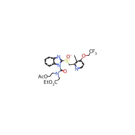 CCOC(=O)CN(CCOC(C)=O)C(=O)n1c([S+]([O-])Cc2nccc(OCC(F)(F)F)c2C)nc2ccccc21